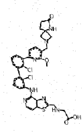 COc1nc(-c2cccc(-c3cccc(NC4=NC=CC5SC(CNCC(=O)O)=NC45)c3Cl)c2Cl)ccc1CN1CC2(CCC(=O)N2)C1